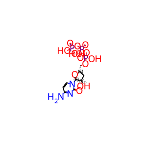 C[C@@]1(O)C[C@@H](COP(=O)(O)OP(=O)(O)OP(=O)(O)O)O[C@H]1n1ccc(N)nc1=O